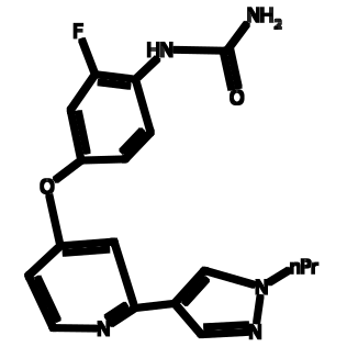 CCCn1cc(-c2cc(Oc3ccc(NC(N)=O)c(F)c3)ccn2)cn1